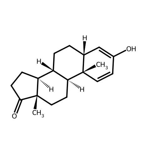 C[C@]12C=CC(O)=C[C@H]1CC[C@@H]1[C@@H]2CC[C@]2(C)C(=O)CC[C@@H]12